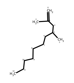 C=C(C)CC(C)CCCCCCC